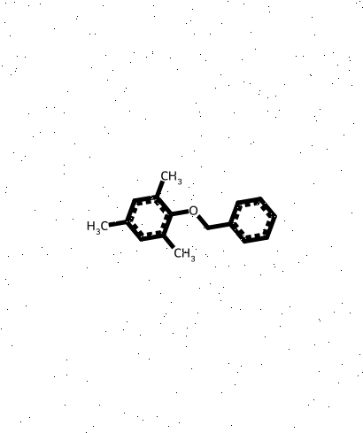 Cc1cc(C)c(O[CH]c2ccccc2)c(C)c1